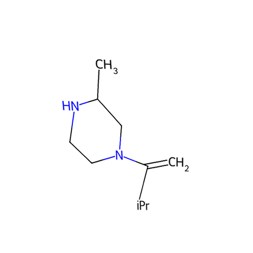 C=C(C(C)C)N1CCNC(C)C1